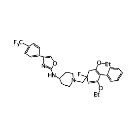 CCOC1=CC(F)(CN2CCC(Nc3nc(-c4ccc(C(F)(F)F)cc4)co3)CC2)CC(OCC)=C1c1ccccc1